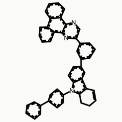 C1=Cc2c(n(-c3ccc(-c4ccccc4)cc3)c3ccc(-c4cccc(-c5cnc6c7ccccc7c7ccccc7c6n5)c4)cc23)CC1